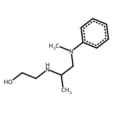 CC(CN(C)c1[c]cccc1)NCCO